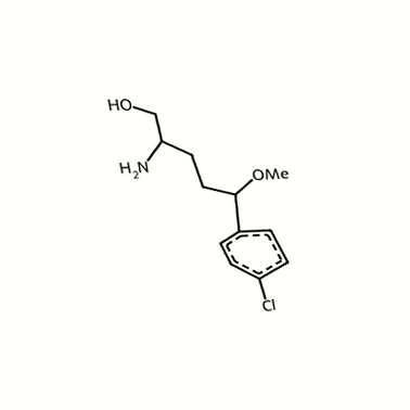 COC(CCC(N)CO)c1ccc(Cl)cc1